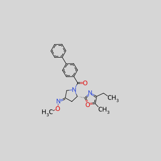 CCc1nc([C@@H]2C/C(=N\OC)CN2C(=O)c2ccc(-c3ccccc3)cc2)oc1C